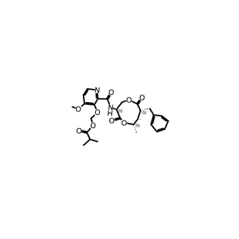 COc1ccnc(C(=O)N[C@H]2COC(=O)[C@H](Cc3ccccc3)[CH][C@H](C)OC2=O)c1OCOC(=O)C(C)C